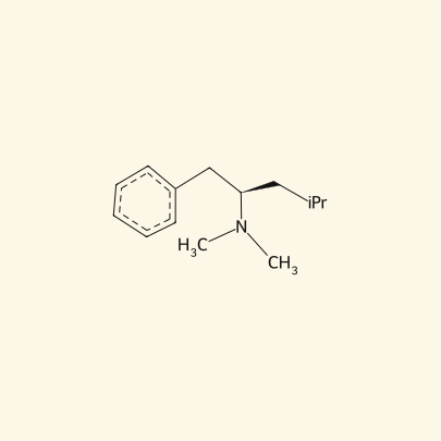 CC(C)C[C@H](Cc1ccccc1)N(C)C